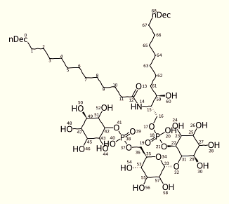 CCCCCCCCCCCCCCCCCCCCCC(=O)N[C@@H](COP(=O)(O)O[C@H]1C(O)C(O)C(O)[C@@H](O)C1O[C@H]1O[C@H](COP(=O)(O)OC2C(O)C(O)C(O)[C@@H](O)C2O)[C@@H](O)C(O)C1O)[C@H](O)CCCCCCCCCCCCCCCCC